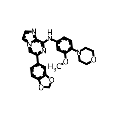 COc1cc(Nc2nc(-c3ccc4c(c3)OCO4)cn3ccnc23)ccc1N1CCOCC1